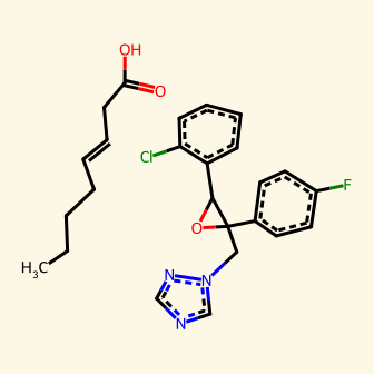 CCCC/C=C/CC(=O)O.Fc1ccc(C2(Cn3cncn3)OC2c2ccccc2Cl)cc1